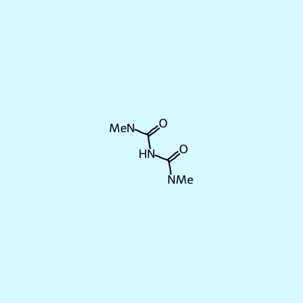 CNC(=O)NC(=O)NC